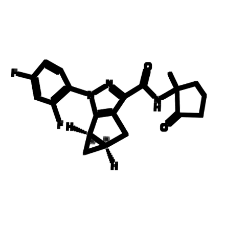 CC1(NC(=O)c2nn(-c3ccc(F)cc3F)c3c2C[C@H]2C[C@@H]32)CCCC1=O